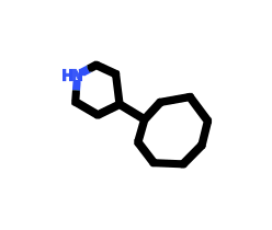 C1CCCC(C2CCNCC2)CCC1